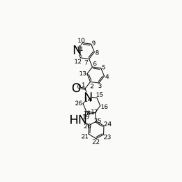 O=C(c1cccc(-c2cccnc2)c1)N1CCc2c([nH]c3ccccc23)C1